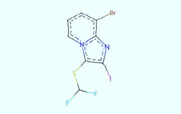 FC(F)Sc1c(I)nc2c(Br)cccn12